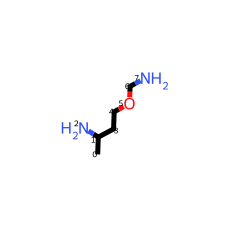 CC(N)CCOCN